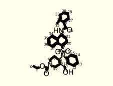 CCOC(=O)N1CC[C@@H](N(c2ccccc2)S(=O)(=O)c2ccc(NC(=O)c3ccccc3C)c3ccccc23)[C@@H](CO)C1